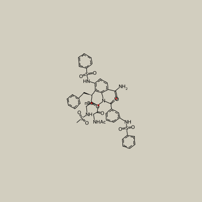 CCCCC(C(=O)CNC(C)=O)N(C(=O)c1cccc(NS(=O)(=O)c2ccccc2)c1)c1c(C(N)=O)ccc(NS(=O)(=O)c2ccccc2)c1[C@H](Cc1ccccc1)C(=O)CNS(C)(=O)=O